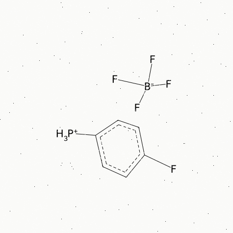 F[B-](F)(F)F.Fc1ccc([PH3+])cc1